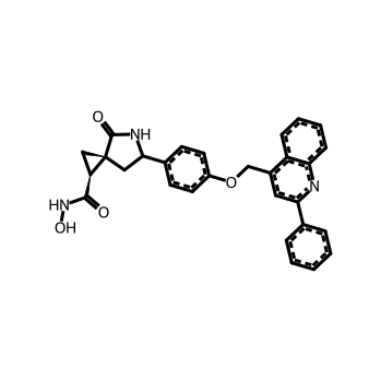 O=C(NO)[C@H]1C[C@@]12CC(c1ccc(OCc3cc(-c4ccccc4)nc4ccccc34)cc1)NC2=O